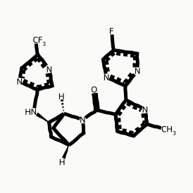 Cc1ccc(C(=O)N2C[C@@H]3C[C@@H](Nc4cnc(C(F)(F)F)cn4)[C@@H]2C3)c(-c2ncc(F)cn2)n1